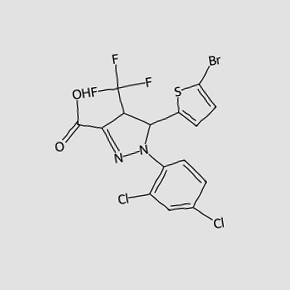 O=C(O)C1=NN(c2ccc(Cl)cc2Cl)C(c2ccc(Br)s2)C1C(F)(F)F